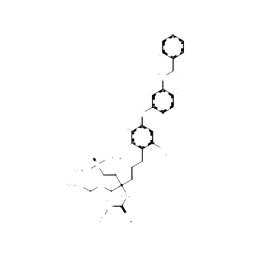 COCOCC(CCCc1ccc(Sc2cccc(OCc3ccccc3)c2)cc1Cl)(CCP(=O)(OC)OC)NC(=O)OC(C)(C)C